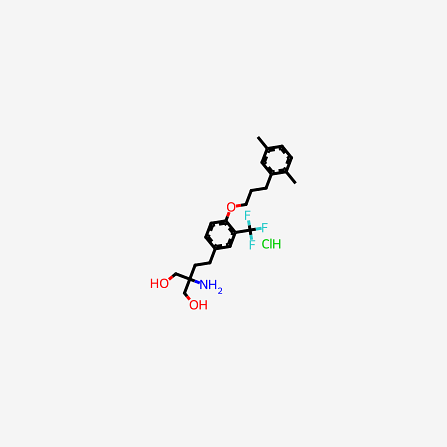 Cc1ccc(C)c(CCCOc2ccc(CCC(N)(CO)CO)cc2C(F)(F)F)c1.Cl